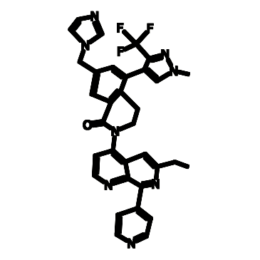 CCc1cc2c(N3CCc4c(cc(Cn5ccnc5)cc4-c4cn(C)nc4C(F)(F)F)C3=O)ccnc2c(-c2ccncc2)n1